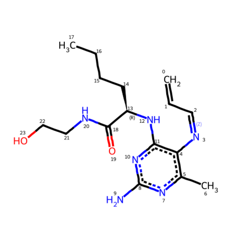 C=C/C=N\c1c(C)nc(N)nc1N[C@H](CCCC)C(=O)NCCO